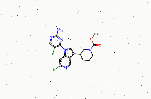 CC(C)(C)OC(=O)N1CCCC(c2cn(-c3nc(N)ncc3F)c3cc(Br)ncc23)C1